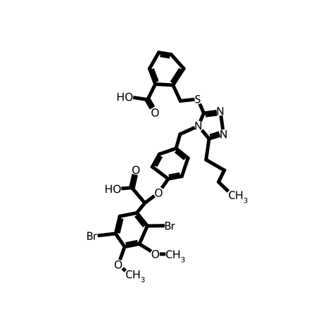 CCCCc1nnc(SCc2ccccc2C(=O)O)n1Cc1ccc(OC(C(=O)O)c2cc(Br)c(OC)c(OC)c2Br)cc1